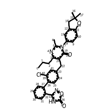 CCCc1nc(C)n(-c2ccc3c(c2)CC(C)(C)O3)c(=O)c1Cc1ccc(-c2ccccc2-c2noc(=O)[nH]2)c(Cl)c1